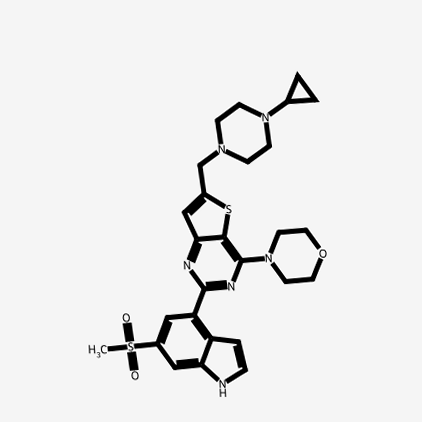 CS(=O)(=O)c1cc(-c2nc(N3CCOCC3)c3sc(CN4CCN(C5CC5)CC4)cc3n2)c2cc[nH]c2c1